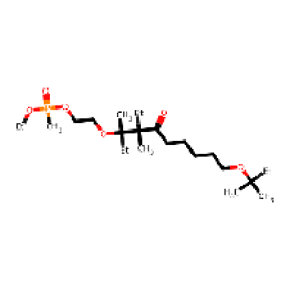 CCOP(C)(=O)OCCOC(C)(CC)C(C)(CC)C(=O)CCCCCOC(C)(C)CC